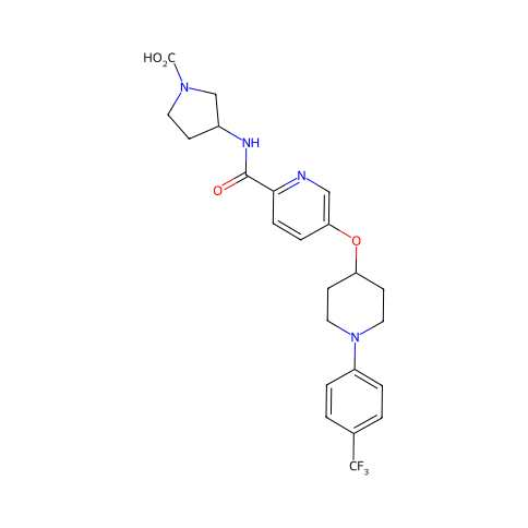 O=C(NC1CCN(C(=O)O)C1)c1ccc(OC2CCN(c3ccc(C(F)(F)F)cc3)CC2)cn1